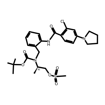 C[C@H](COS(C)(=O)=O)N(Cc1ccccc1NC(=O)c1ccc(N2CCCC2)cc1Cl)C(=O)OC(C)(C)C